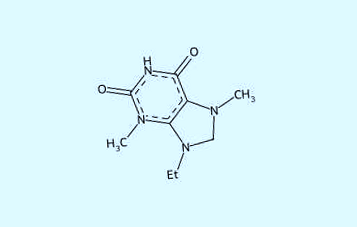 CCN1CN(C)c2c1n(C)c(=O)[nH]c2=O